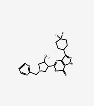 CC1CN(Cc2ncccn2)CC1c1nc2c(C3CCC(F)(F)CC3)n[nH]c2c(=O)[nH]1